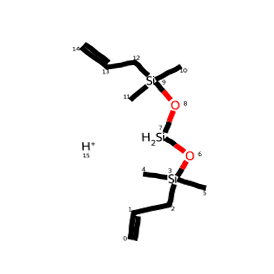 C=CC[Si](C)(C)O[SiH2]O[Si](C)(C)CC=C.[H+]